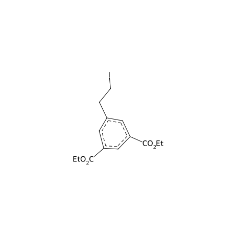 CCOC(=O)c1cc(CCI)cc(C(=O)OCC)c1